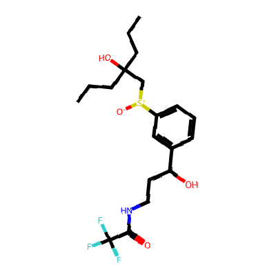 CCCC(O)(CCC)C[S+]([O-])c1cccc(C(O)CCNC(=O)C(F)(F)F)c1